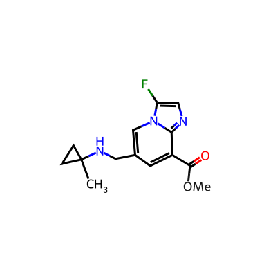 COC(=O)c1cc(CNC2(C)CC2)cn2c(F)cnc12